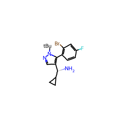 CC(C)(C)n1ncc([C@H](N)C2CC2)c1-c1ccc(F)cc1Br